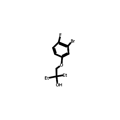 CCC(O)(CC)COc1ccc(F)c(Br)c1